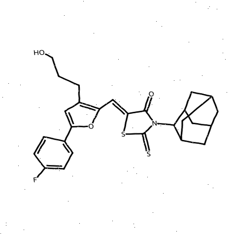 O=C1C(=Cc2oc(-c3ccc(F)cc3)cc2CCCO)SC(=S)N1C1C2CC3CC(C2)CC1C3